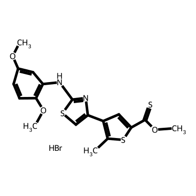 Br.COC(=S)c1cc(-c2csc(Nc3cc(OC)ccc3OC)n2)c(C)s1